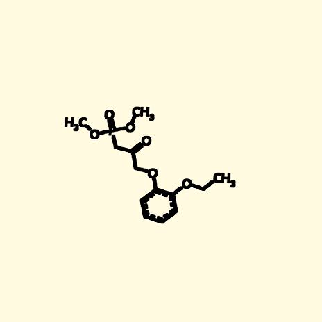 CCOc1ccccc1OCC(=O)CP(=O)(OC)OC